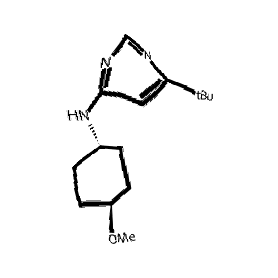 CO[C@H]1CC[C@H](Nc2cc(C(C)(C)C)ncn2)CC1